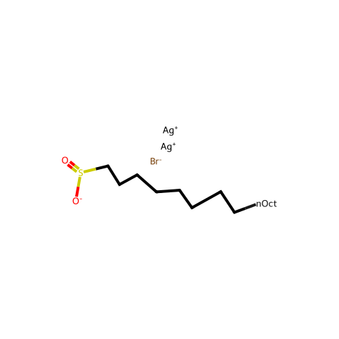 CCCCCCCCCCCCCCCCS(=O)[O-].[Ag+].[Ag+].[Br-]